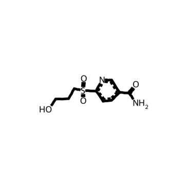 NC(=O)c1ccc(S(=O)(=O)CCCO)nc1